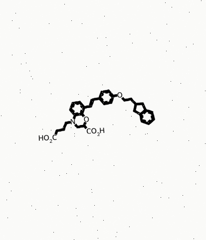 O=C(O)CCCN1CC(C(=O)O)Oc2c(C=Cc3ccc(OCCC4Cc5ccccc5C4)cc3)cccc21